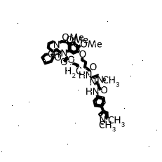 C=CCOC(=O)N1c2cc(OCCCC(=O)Nc3cn(C)c(C(=O)Nc4ccc(-c5cc(C)n(C)c5)cc4)n3)c(OC)cc2C(OC)(OC)CN2CCCC[C@H]2[C@@H]1OC1CCCCO1